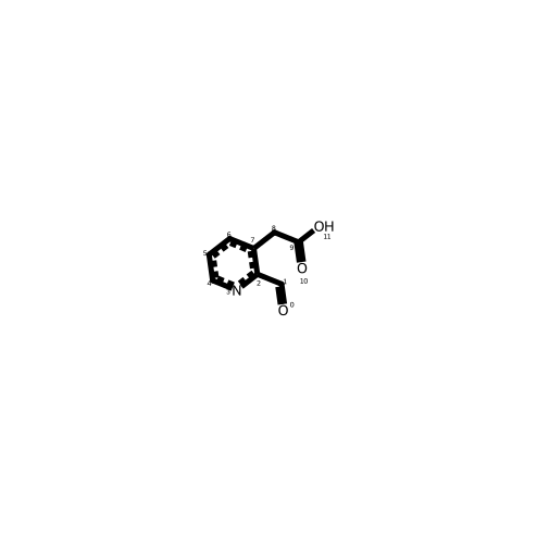 O=Cc1ncccc1CC(=O)O